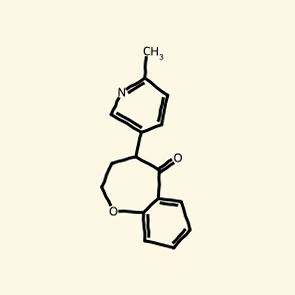 Cc1ccc(C2CCOc3ccccc3C2=O)cn1